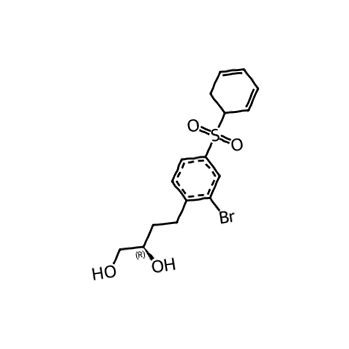 O=S(=O)(c1ccc(CC[C@@H](O)CO)c(Br)c1)C1C=CC=CC1